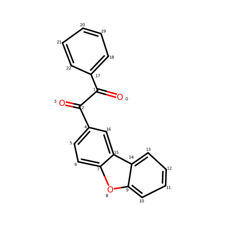 O=C(C(=O)c1ccc2oc3ccccc3c2c1)c1ccccc1